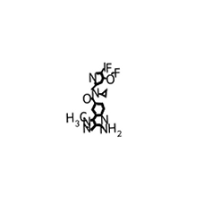 Cn1ncc2c(N)nc3ccc(C(=O)N(Cc4cc(OC(F)F)c(I)cn4)C4CC4)cc3c21